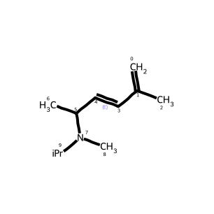 C=C(C)/C=C/C(C)N(C)C(C)C